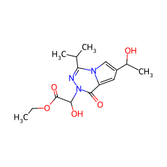 CCOC(=O)C(O)n1nc(C(C)C)n2cc(C(C)O)cc2c1=O